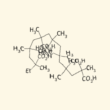 CCC(C)(CC(C)(CC(C)(CC(C)(CC(C)(CC(C)(CC(C)(C)C(=O)O)C(=O)O)C(=O)O)C(=O)O)C(=O)O)C(=O)O)C(=O)O